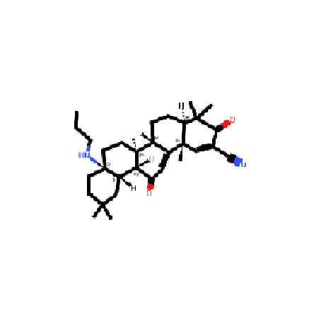 CCCN[C@]12CCC(C)(C)C[C@H]1[C@H]1C(=O)C=C3[C@@]4(C)C=C(C#N)C(=O)C(C)(C)[C@@H]4CC[C@@]3(C)[C@]1(C)CC2